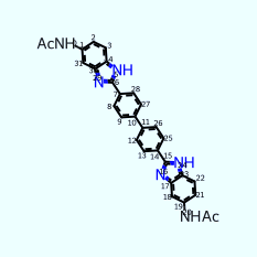 CC(=O)Nc1ccc2[nH]c(-c3ccc(-c4ccc(-c5nc6cc(NC(C)=O)ccc6[nH]5)cc4)cc3)nc2c1